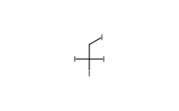 ICC(I)(I)I